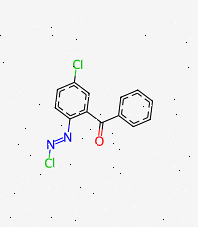 O=C(c1ccccc1)c1cc(Cl)ccc1/N=N/Cl